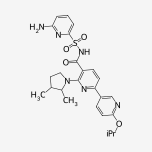 CC(C)Oc1ccc(-c2ccc(C(=O)NS(=O)(=O)c3cccc(N)n3)c(N3CCC(C)C3C)n2)cn1